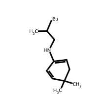 CCC(C)C(C)CNC1=CCC(C)(C)C=C1